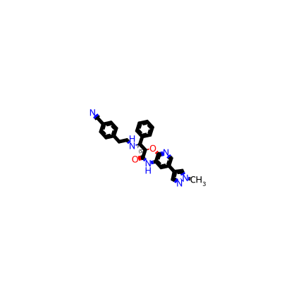 Cn1cc(-c2cnc3c(c2)NC(=O)[C@H]([C@H](NCCc2ccc(C#N)cc2)c2ccccc2)O3)cn1